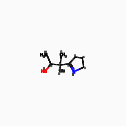 CC(C)(C)C(C)(C1=NCCC1)C(O)[SiH3]